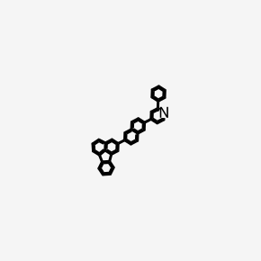 c1ccc(-c2cc(-c3ccc4cc(-c5cc6c7c(cccc7c5)-c5ccccc5-6)ccc4c3)ccn2)cc1